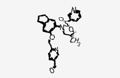 C[C@H](F)CN(c1cc2c(cc1OCc1ccc(C=O)cn1)CCC2)S(=O)(=O)c1cccnc1